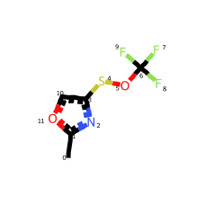 Cc1nc(SOC(F)(F)F)co1